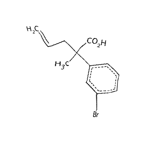 C=CCC(C)(C(=O)O)c1cccc(Br)c1